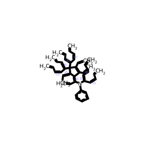 C=C/C=C\C1=C(C=C)C(C(/C=C\C=C)=C/C=C)(C(/C=C\C=C)=C/C=C)C(=C/C)/C1=C(\C=C)N(C(/C=C\C=C)=C/C=C)c1ccccc1